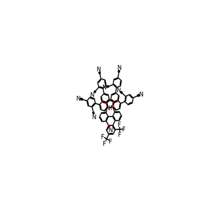 N#Cc1ccc(-c2ccc3c(c2)c2cc(-c4ccc(C#N)cc4C#N)ccc2n3-c2cccc(C#N)c2-c2c(-c3ccc(C(F)(F)F)cc3C(F)(F)F)cccc2-n2c3ccc(-c4ccc(C#N)cc4C#N)cc3c3cc(-c4ccc(C#N)cc4C#N)ccc32)c(C#N)c1